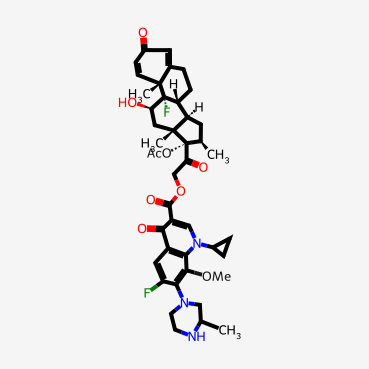 COc1c(N2CCNC(C)C2)c(F)cc2c(=O)c(C(=O)OCC(=O)[C@]3(OC(C)=O)[C@H](C)C[C@@H]4[C@H]5CCC6=CC(=O)C=C[C@@]6(C)[C@]5(F)[C@H](O)C[C@]43C)cn(C3CC3)c12